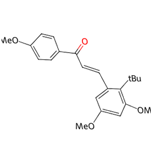 COc1ccc(C(=O)C=Cc2cc(OC)cc(OC)c2C(C)(C)C)cc1